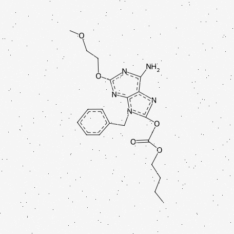 CCCCOC(=O)Oc1nc2c(N)nc(OCCOC)nc2n1Cc1ccccc1